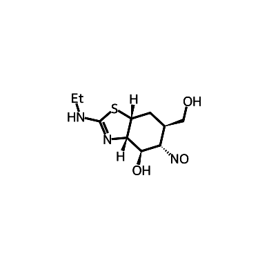 CCNC1=N[C@H]2[C@H](O)[C@@H](N=O)[C@H](CO)C[C@H]2S1